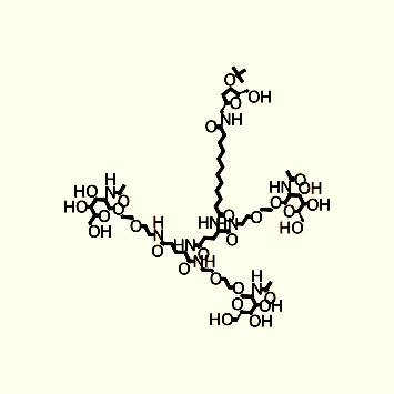 CC(=O)NC1C(OCCOCCNC(=O)CCC(NC(=O)CCC(NC(=O)CCCCCCCCCCC(=O)NC[C@H]2C[C@H](OC(C)(C)C)[C@@H](CO)O2)C(=O)NCCOCCOC2O[C@H](CO)C(O)C(O)C2NC(C)=O)C(=O)NCCOCCOC2O[C@H](CO)C(O)C(O)C2NC(C)=O)OC(CO)C(O)C1O